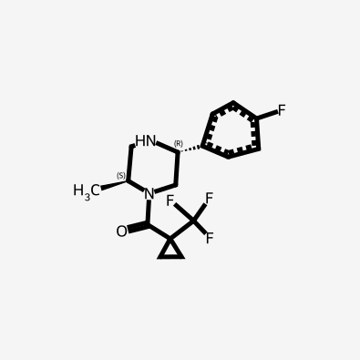 C[C@H]1CN[C@H](c2ccc(F)cc2)CN1C(=O)C1(C(F)(F)F)CC1